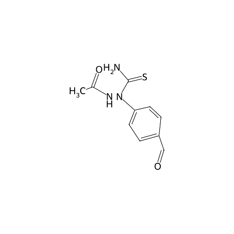 CC(=O)NN(C(N)=S)c1ccc(C=O)cc1